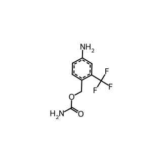 NC(=O)OCc1ccc(N)cc1C(F)(F)F